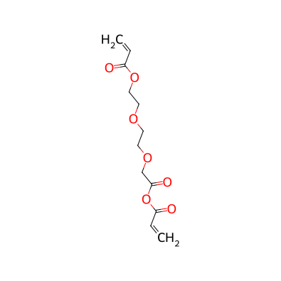 C=CC(=O)OCCOCCOCC(=O)OC(=O)C=C